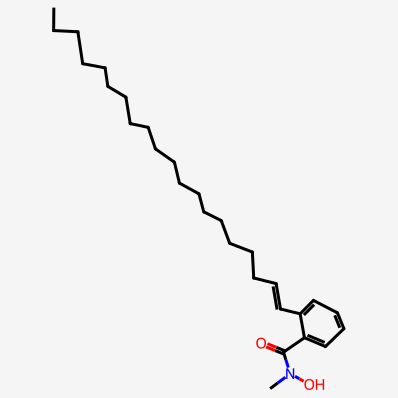 CCCCCCCCCCCCCCCCCC/C=C/c1ccccc1C(=O)N(C)O